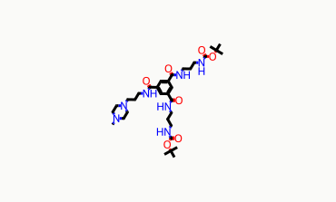 CN1CCN(CCCNC(=O)c2cc(C(=O)NCCCNC(=O)OC(C)(C)C)cc(C(=O)NCCCNC(=O)OC(C)(C)C)c2)CC1